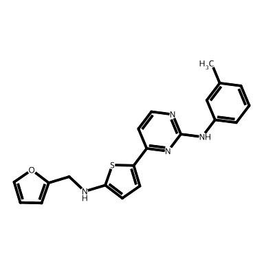 Cc1cccc(Nc2nccc(-c3ccc(NCc4ccco4)s3)n2)c1